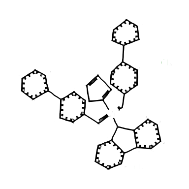 C1=CC[C]([Zr+2](=[CH]c2ccc(-c3ccccc3)cc2)(=[CH]c2ccc(-c3ccccc3)cc2)[CH]2c3ccccc3-c3ccccc32)=C1.[Cl-].[Cl-]